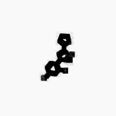 Clc1ccc(C2C=C(c3cccs3)NN2)c(Cl)c1